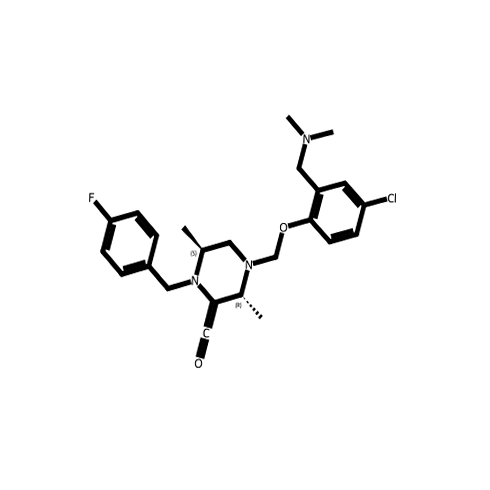 C[C@@H]1C(=C=O)N(Cc2ccc(F)cc2)[C@@H](C)CN1COc1ccc(Cl)cc1CN(C)C